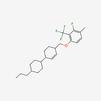 CCCC1CCC(C2C=CC(COc3ccc(C)c(F)c3C(F)(F)F)CC2)CC1